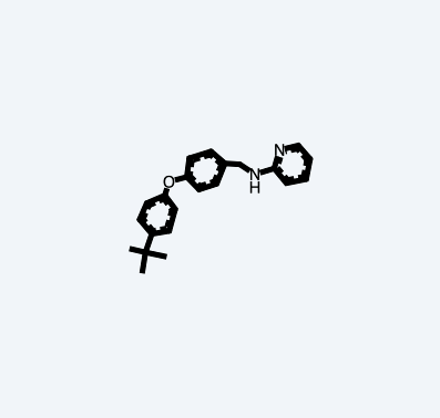 CC(C)(C)c1ccc(Oc2ccc(CNc3ccccn3)cc2)cc1